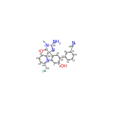 CN1C(=O)C(c2ccc(O)c(-c3cccc(C#N)c3)c2)(c2cccc(CF)n2)N=C1N